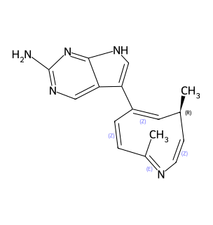 CC1=N\C=C/[C@H](C)/C=C(c2c[nH]c3nc(N)ncc23)/C=C\1